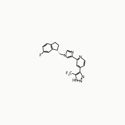 Fc1ccc2c(c1)[C@@H](Cn1cnc(-c3cc(-c4nn[nH]c4C(F)(F)F)ccn3)c1)CC2